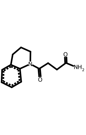 NC(=O)CCC(=O)N1CCCc2ccccc21